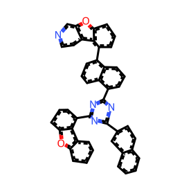 c1ccc2cc(-c3nc(-c4cccc5c(-c6cccc7oc8cnccc8c67)cccc45)nc(-c4cccc5oc6ccccc6c45)n3)ccc2c1